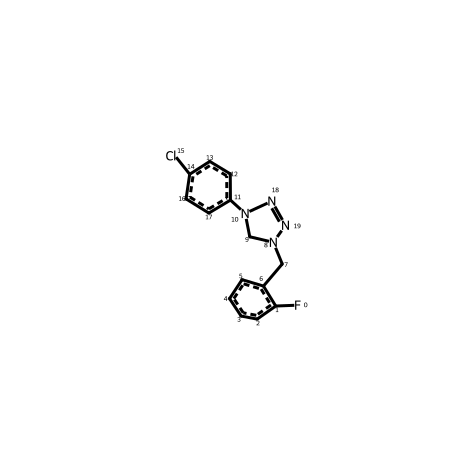 Fc1ccccc1CN1CN(c2ccc(Cl)cc2)N=N1